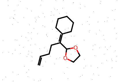 C=CCCC(=C1CCCCC1)C1OCCO1